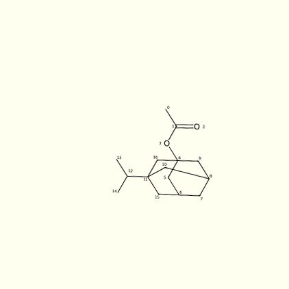 CC(=O)OC12CC3CC(C1)CC(C(C)C)(C3)C2